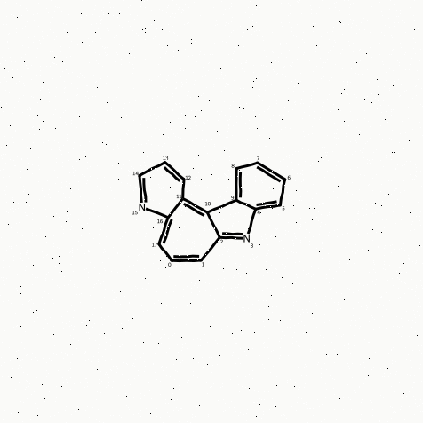 c1cc2nc3ccccc3c-2c2cccnc2c1